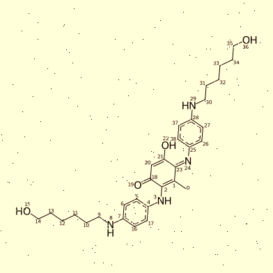 CC1=C(Nc2ccc(NCCCCCCO)cc2)C(=O)C=C(O)/C1=N\c1ccc(NCCCCCCO)cc1